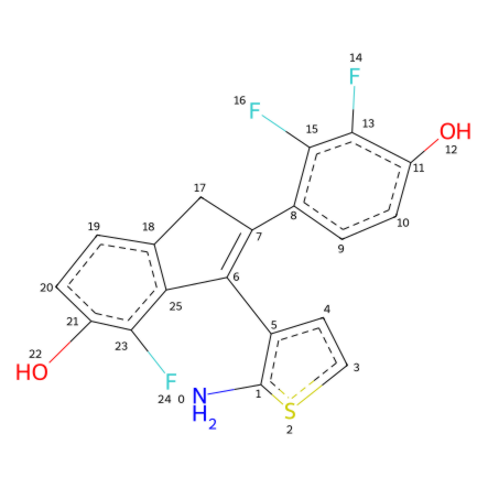 Nc1sccc1C1=C(c2ccc(O)c(F)c2F)Cc2ccc(O)c(F)c21